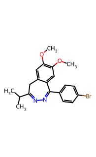 COc1cc2c(cc1OC)C(c1ccc(Br)cc1)=NN=C(C(C)C)C2